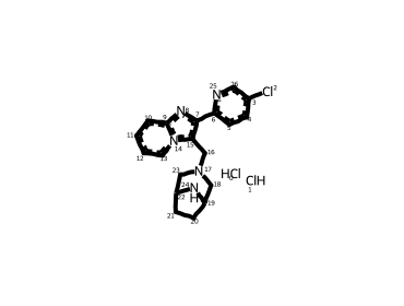 Cl.Cl.Clc1ccc(-c2nc3ccccn3c2CN2CC3CCC(C2)N3)nc1